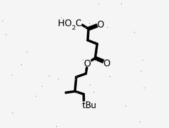 CC(CCOC(=O)CCC(=O)C(=O)O)CC(C)(C)C